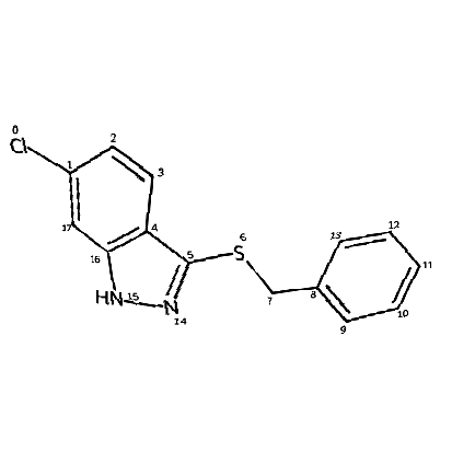 Clc1ccc2c(SCc3ccccc3)n[nH]c2c1